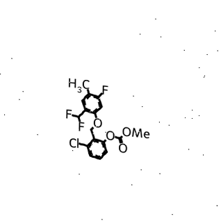 COC(=O)Oc1cccc(Cl)c1COc1cc(F)c(C)cc1C(F)F